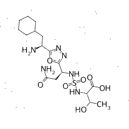 CC(O)C(NS(=O)(=O)N[C@@H](CC(N)=O)c1nnc([C@@H](N)CC2CCCCC2)o1)C(=O)O